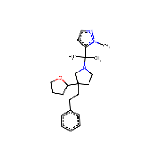 Cn1nccc1C(C)(C)N1CCC(CCc2ccccc2)(C2CCCO2)C1